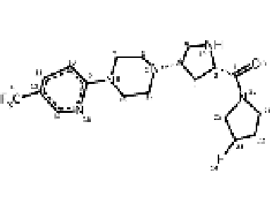 O=C([C@@H]1C[C@H](N2CCN(c3ccc(C(F)(F)F)cn3)CC2)CN1)N1CCC(F)C1